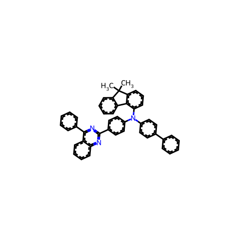 CC1(C)c2ccccc2-c2c(N(c3ccc(-c4ccccc4)cc3)c3ccc(-c4nc(-c5ccccc5)c5ccccc5n4)cc3)cccc21